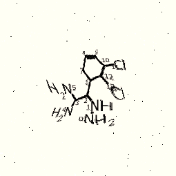 NNC(C(N)N)C1CC=CC(Cl)C1Cl